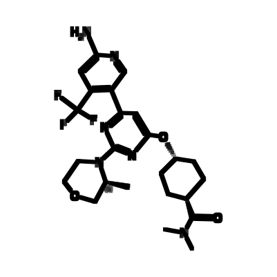 C[C@H]1COCCN1c1nc(O[C@H]2CC[C@H](C(=O)N(C)C)CC2)cc(-c2cnc(N)cc2C(F)(F)F)n1